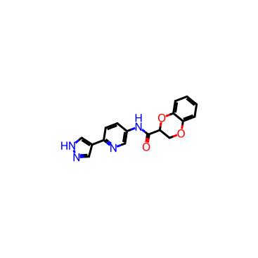 O=C(Nc1ccc(-c2cn[nH]c2)nc1)C1COc2ccccc2O1